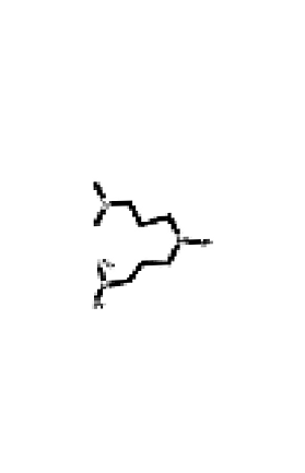 CC(C)N(CCCN(C)C)CCCN(C(C)C)C(C)(C)C